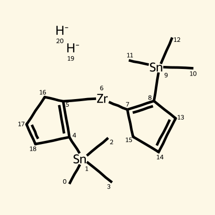 [CH3][Sn]([CH3])([CH3])[C]1=[C]([Zr][C]2=[C]([Sn]([CH3])([CH3])[CH3])C=CC2)CC=C1.[H-].[H-]